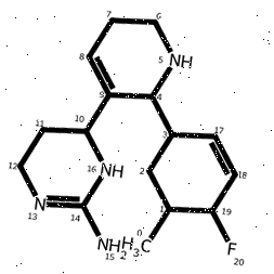 CC1CC(C2NCCC=C2C2CCN=C(N)N2)C=CC1F